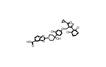 O=C(O)c1ccc2nc(N3CCC(O)(c4ccc(OCc5c(-c6c(Cl)cccc6Cl)noc5C5CC5)cc4Cl)CC3)sc2c1